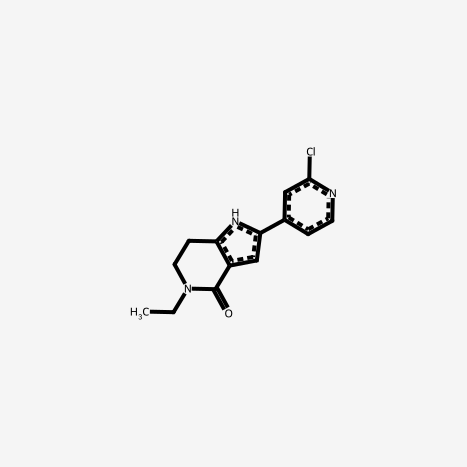 CCN1CCc2[nH]c(-c3ccnc(Cl)c3)cc2C1=O